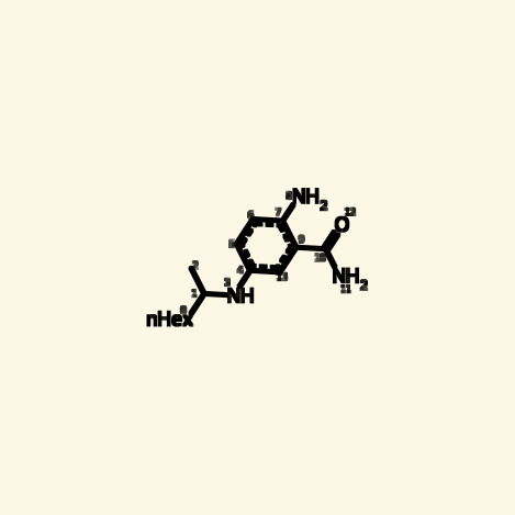 CCCCCCC(C)Nc1ccc(N)c(C(N)=O)c1